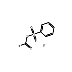 O=C([O-])OS(=O)(=O)c1ccccc1.[K+]